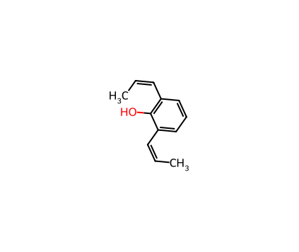 C/C=C\c1cccc(/C=C\C)c1O